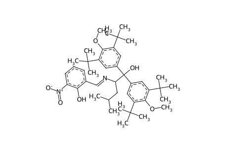 COc1c(C(C)(C)C)cc(C(O)(c2cc(C(C)(C)C)c(OC)c(C(C)(C)C)c2)C(CC(C)C)N=Cc2cccc([N+](=O)[O-])c2O)cc1C(C)(C)C